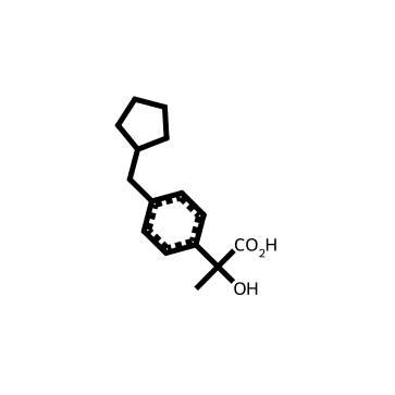 CC(O)(C(=O)O)c1ccc(CC2CCCC2)cc1